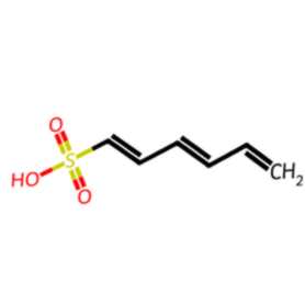 C=C/C=C/C=C/S(=O)(=O)O